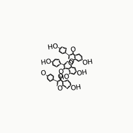 COc1ccc(-c2coc3cc(O)ccc3c2=O)cc1.O=c1c(-c2ccc(O)cc2)coc2cc(O)cc(O)c12.O=c1c(-c2ccc(O)cc2)coc2cc(O)ccc12